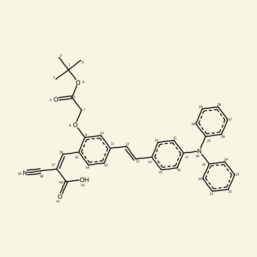 CC(C)(C)OC(=O)COc1cc(/C=C/c2ccc(N(c3ccccc3)c3ccccc3)cc2)ccc1/C=C(/C#N)C(=O)O